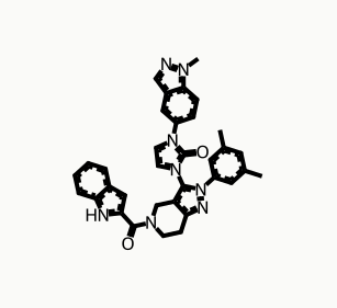 Cc1cc(C)cc(-n2nc3c(c2-n2ccn(-c4ccc5c(cnn5C)c4)c2=O)CN(C(=O)c2cc4ccccc4[nH]2)CC3)c1